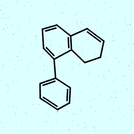 [c]1ccc(-c2cccc3c2CCC=C3)cc1